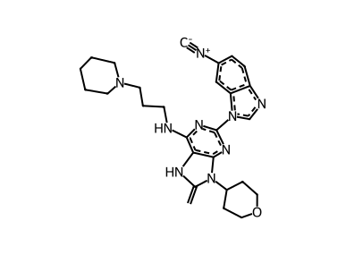 [C-]#[N+]c1ccc2ncn(-c3nc(NCCCN4CCCCC4)c4c(n3)N(C3CCOCC3)C(=C)N4)c2c1